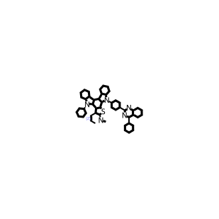 C=Nc1sc2c(c1/C=C\C)c1c(c3ccccc3n1-c1ccccc1)c1c3ccccc3n(-c3ccc(-c4nc(-c5ccccc5)c5ccccc5n4)cc3)c21